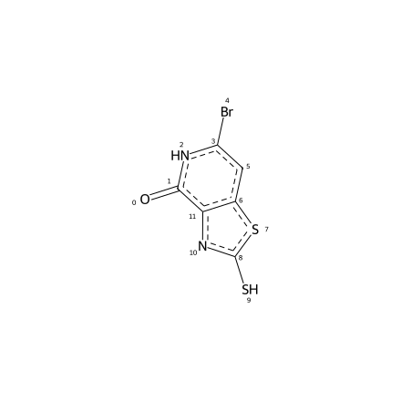 O=c1[nH]c(Br)cc2sc(S)nc12